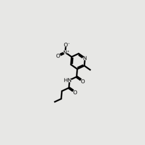 CCCC(=O)NC(=O)c1cc([N+](=O)[O-])cnc1C